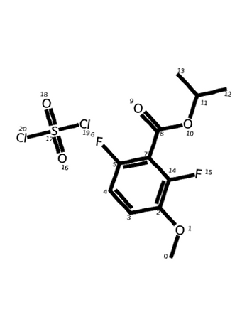 COc1ccc(F)c(C(=O)OC(C)C)c1F.O=S(=O)(Cl)Cl